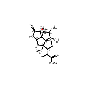 COC(=O)C(C)[C@H]1CCC23C(O)[C@H](OC(C)=O)[C@@H](C(C)(C)C)C24C(OC(=O)[C@@H]4OC)OC13C=O